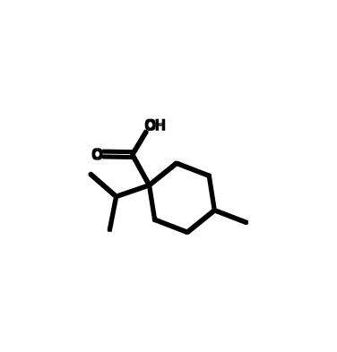 CC1CCC(C(=O)O)(C(C)C)CC1